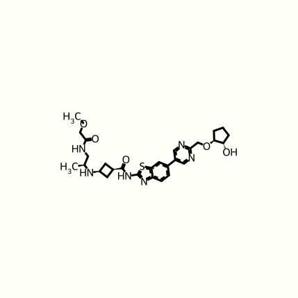 COCC(=O)NC[C@H](C)N[C@H]1C[C@@H](C(=O)Nc2nc3ccc(-c4cnc(CO[C@H]5CCC[C@@H]5O)nc4)cc3s2)C1